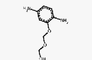 Nc1ccc(N)c(OCOCO)c1